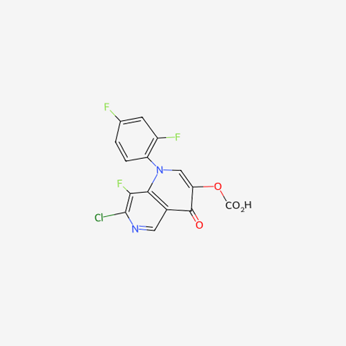 O=C(O)Oc1cn(-c2ccc(F)cc2F)c2c(F)c(Cl)ncc2c1=O